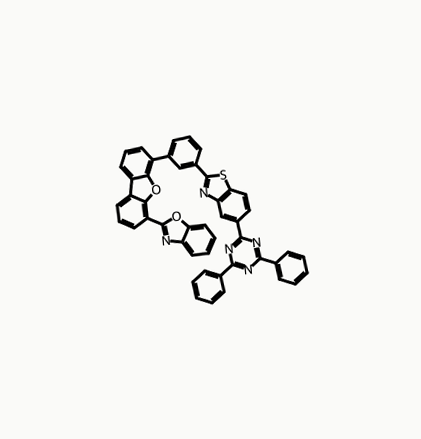 c1ccc(-c2nc(-c3ccccc3)nc(-c3ccc4sc(-c5cccc(-c6cccc7c6oc6c(-c8nc9ccccc9o8)cccc67)c5)nc4c3)n2)cc1